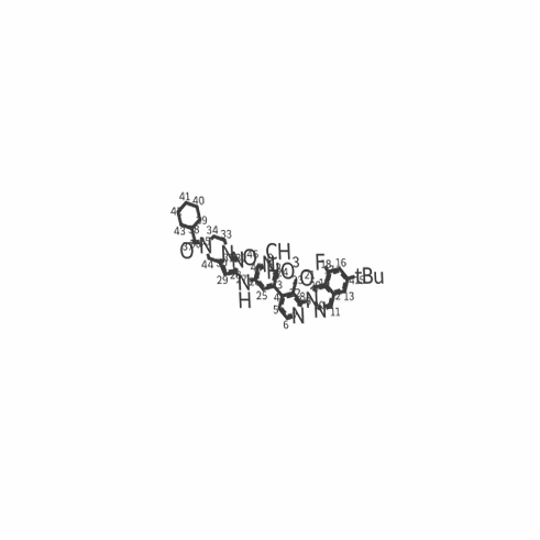 Cn1cc(-c2ccnc(-n3ncc4cc(C(C)(C)C)cc(F)c4c3=O)c2CO)cc(Nc2cc3n(n2)CCN(C(=O)C2CCCCC2)C3)c1=O